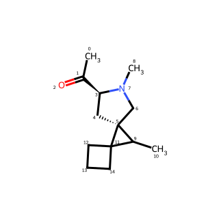 CC(=O)[C@@H]1C[C@]2(CN1C)C(C)C21CCC1